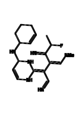 CN/C=C(C(=N)C(C)F)/C(C=N)=C1/NC=CC(NC2C=CCCC2)N1